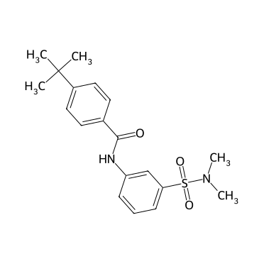 CN(C)S(=O)(=O)c1cccc(NC(=O)c2ccc(C(C)(C)C)cc2)c1